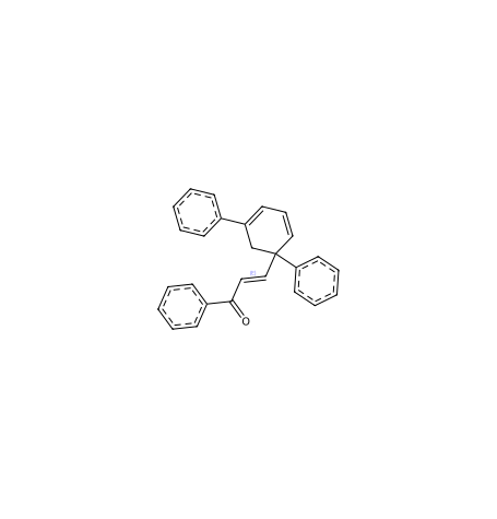 O=C(/C=C/C1(c2ccccc2)C=CC=C(c2ccccc2)C1)c1ccccc1